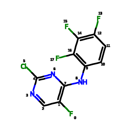 Fc1cnc(Cl)nc1Nc1ccc(F)c(F)c1F